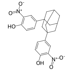 O=[N+]([O-])c1cc(C23CC4CC(C2)CC(c2ccc(O)c([N+](=O)[O-])c2)(C4)C3)ccc1O